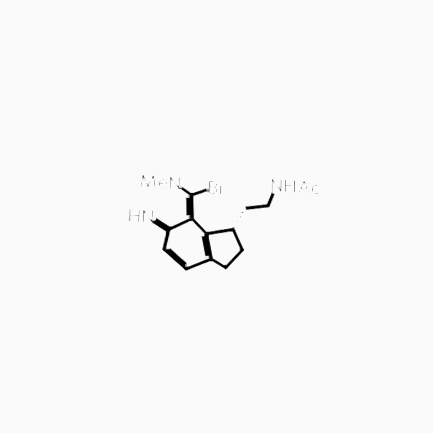 CN/C(Br)=C1\C(=N)C=CC2=C1[C@H](CCNC(C)=O)CC2